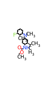 CCOC(=O)Nc1ccc(N(C)c2cccc(F)c2C)cc1C(C)C